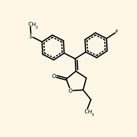 CCC1CC(=C(c2ccc(F)cc2)c2ccc(SC)cc2)C(=O)O1